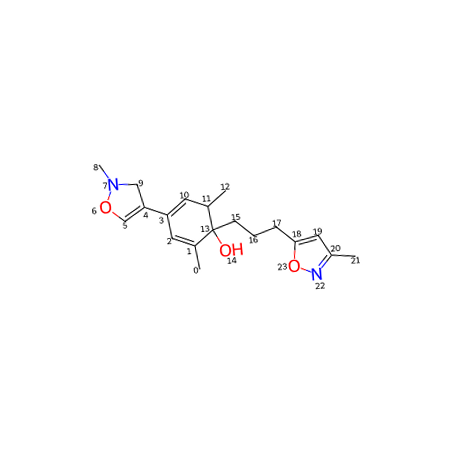 CC1=CC(C2=CON(C)C2)=CC(C)C1(O)CCCc1cc(C)no1